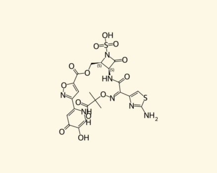 CC(C)(ON=C(C(=O)N[C@@H]1C(=O)N(S(=O)(=O)O)[C@@H]1COC(=O)c1cc(-c2cc(=O)c(O)c[nH]2)no1)c1csc(N)n1)C(=O)O